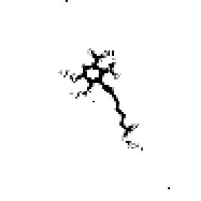 COC(=O)CCCCC#Cc1c(OC)c(OC)cc(C(=O)O)c1[N+](=O)[O-]